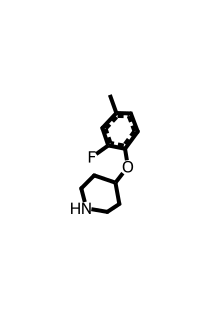 Cc1ccc(OC2CCNCC2)c(F)c1